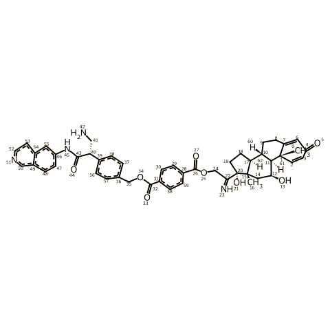 C[C@]12C=CC(=O)C=C1CC[C@@H]1[C@@H]2[C@@H](O)C[C@@]2(C)[C@H]1CC[C@]2(O)C(=N)COC(=O)c1ccc(C(=O)OCc2ccc([C@@H](CN)C(=O)Nc3ccc4cnccc4c3)cc2)cc1